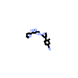 Cc1cc(C#N)ccc1-c1ccnc(NCc2cc(-c3ccccn3)[nH]n2)c1